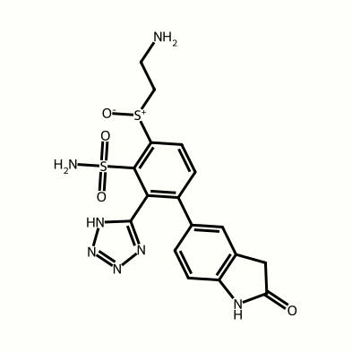 NCC[S+]([O-])c1ccc(-c2ccc3c(c2)CC(=O)N3)c(-c2nnn[nH]2)c1S(N)(=O)=O